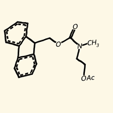 CC(=O)OCCN(C)C(=O)OCC1c2ccccc2-c2ccccc21